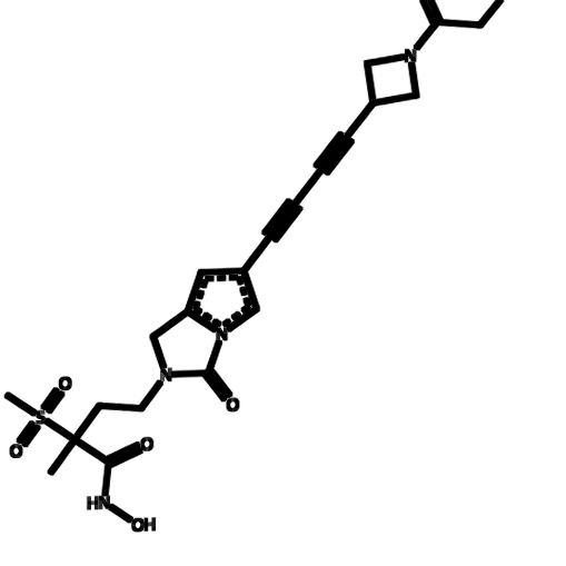 CC(CCN1Cc2cc(C#CC#CC3CN(C(=O)CO)C3)cn2C1=O)(C(=O)NO)S(C)(=O)=O